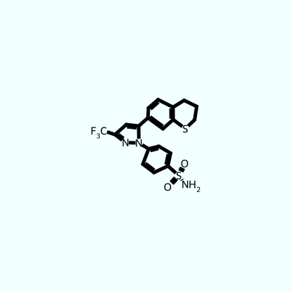 NS(=O)(=O)c1ccc(-n2nc(C(F)(F)F)cc2-c2ccc3c(c2)SCCC3)cc1